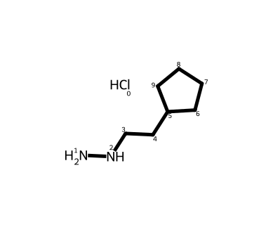 Cl.NNCCC1CCCC1